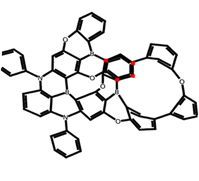 c1ccc(N2c3cccc4c3B(c3c2cc2c5c3Oc3ccccc3B5c3ccccc3O2)c2c(cc3c5c2Oc2ccc6cc2B5c2cc(ccc2O3)-c2cccc(c2)Oc2cccc-6c2)N4c2ccccc2)cc1